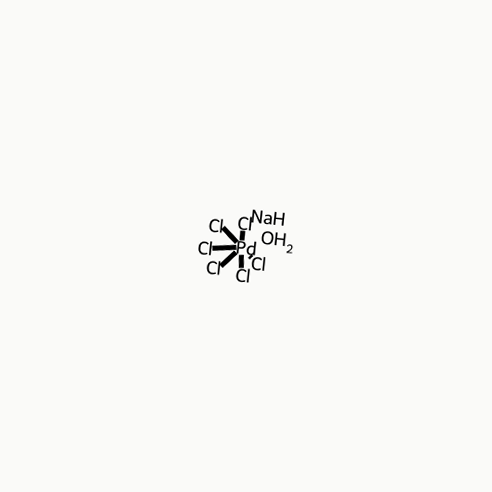 O.[Cl][Pd]([Cl])([Cl])([Cl])([Cl])[Cl].[NaH]